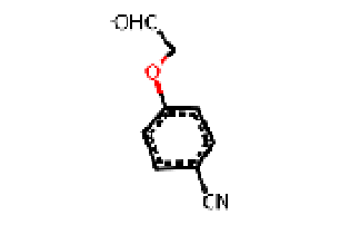 N#Cc1ccc(OC[C]=O)cc1